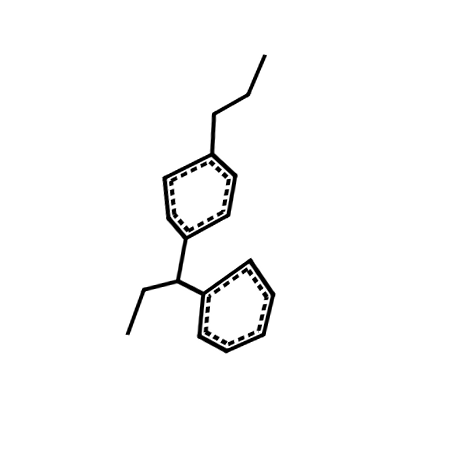 CCCc1ccc(C(CC)c2ccccc2)cc1